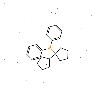 c1ccc(P(c2ccccc2)C2(C3CCCC3)CCCC2)cc1